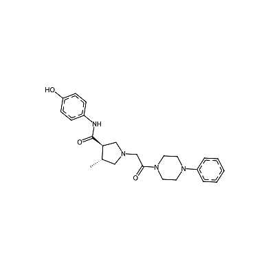 C[C@H]1CN(CC(=O)N2CCN(c3ccccc3)CC2)C[C@@H]1C(=O)Nc1ccc(O)cc1